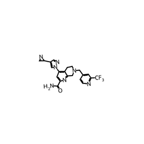 NC(=O)c1cc(-n2cc(C3C=N3)cn2)c2c(n1)CN(Cc1ccnc(C(F)(F)F)c1)CC2